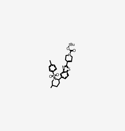 Cc1ccc(S(=O)(=O)N2CC(C)CCC2c2ccc3sc(C4=CCN(C(=O)OC(C)(C)C)CC4)nc3c2)cc1